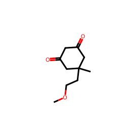 COCCC1(C)CC(=O)CC(=O)C1